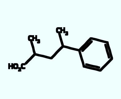 CC(CC(C)c1ccccc1)C(=O)O